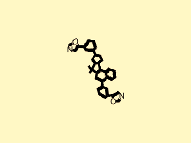 CC1(C)c2cc(-c3cccc(-c4cnco4)c3)ccc2-c2c1cc(-c1cccc(-c3cnco3)c1)c1ccccc21